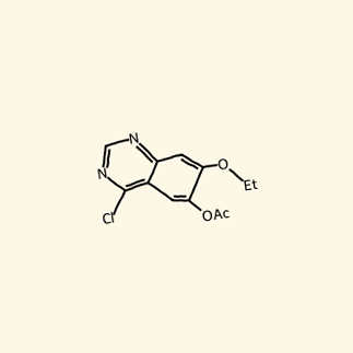 CCOc1cc2ncnc(Cl)c2cc1OC(C)=O